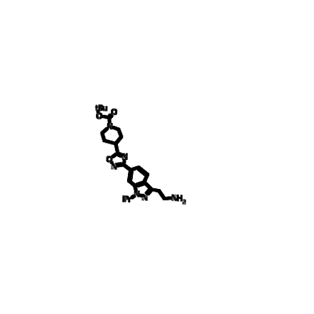 CC(C)n1nc(CCN)c2ccc(-c3noc(C4CCN(C(=O)OC(C)(C)C)CC4)n3)cc21